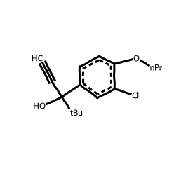 C#CC(O)(c1ccc(OCCC)c(Cl)c1)C(C)(C)C